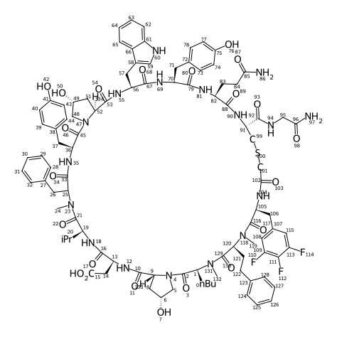 CCCC[C@H]1C(=O)N2C[C@H](O)C[C@@H]2C(=O)N[C@@H](CC(=O)O)C(=O)N[C@@H](C(C)C)C(=O)N(C)C(Cc2ccccc2)C(=O)N[C@@H](Cc2ccc(O)cc2)C(=O)N2C[C@H](O)C[C@H]2C(=O)N[C@@H](Cc2c[nH]c3ccccc23)C(=O)N[C@@H](Cc2ccc(O)cc2)C(=O)N[C@@H](CCC(N)=O)C(=O)N[C@H](C(=O)NCC(N)=O)CSCC(=O)N[C@@H](Cc2cc(F)c(F)c(F)c2)C(=O)N(C)[C@@H](CCc2ccccc2)C(=O)N1C